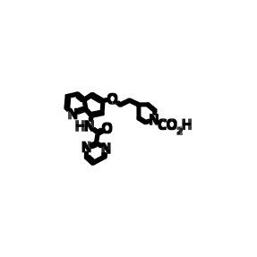 O=C(Nc1cc(OCCC2CCN(C(=O)O)CC2)cc2cccnc12)c1ncccn1